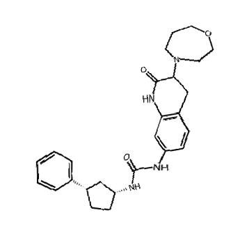 O=C(Nc1ccc2c(c1)NC(=O)C(N1CCCOCC1)C2)N[C@@H]1CC[C@H](c2ccccc2)C1